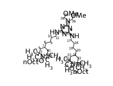 CCCCCCCCON1C(C)(C)CC(CCCCNc2nc(NCCCCC3CC(C)(C)N(OCCCCCCCC)C(C)(C)C3)nc(N(COC)COC)n2)CC1(C)C